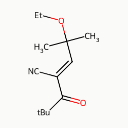 CCOC(C)(C)/C=C(\C#N)C(=O)C(C)(C)C